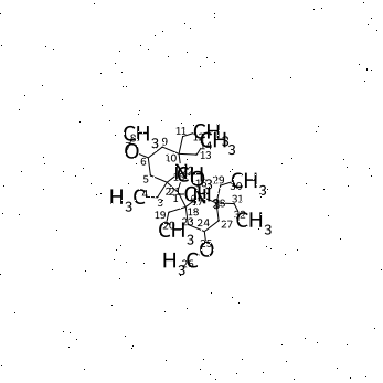 CCC1(CC)CC(OC)CC(CC)(CC)N1ON1C(CC)(CC)CC(OC)CC1(CC)CC